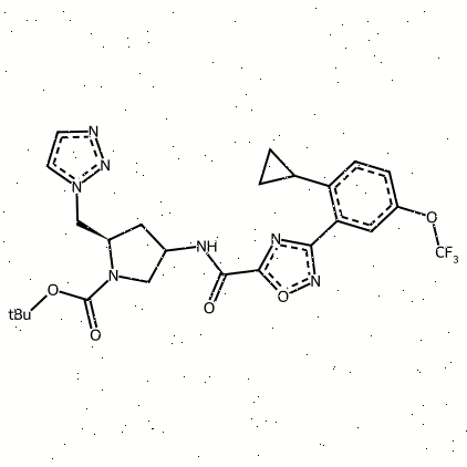 CC(C)(C)OC(=O)N1CC(NC(=O)c2nc(-c3cc(OC(F)(F)F)ccc3C3CC3)no2)C[C@@H]1Cn1ccnn1